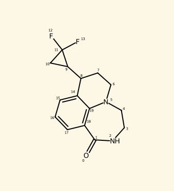 O=C1NCCN2CCC(C3CC3(F)F)c3cccc1c32